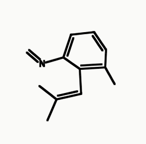 C=Nc1cccc(C)c1C=C(C)C